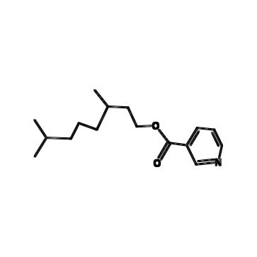 CC(C)CCCC(C)CCOC(=O)c1cccnc1